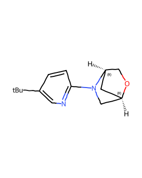 CC(C)(C)c1ccc(N2C[C@H]3C[C@@H]2CO3)nc1